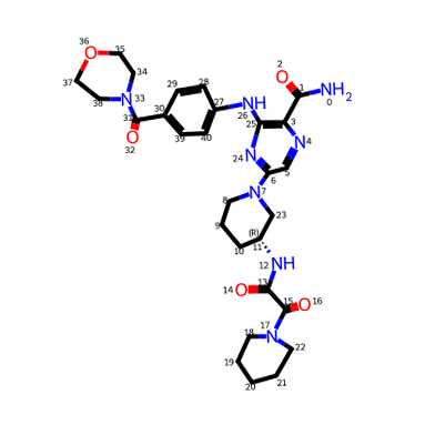 NC(=O)c1ncc(N2CCC[C@@H](NC(=O)C(=O)N3CCCCC3)C2)nc1Nc1ccc(C(=O)N2CCOCC2)cc1